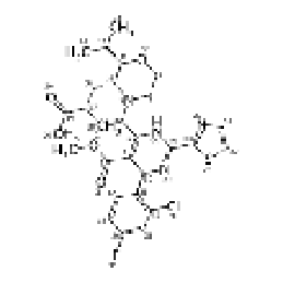 COC(=O)C1=C(CN2CCO[C@H](C(C)C)[C@H]2CC(C)C(=O)O)NC(c2nccs2)=N[C@H]1c1ccc(F)cc1Cl